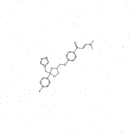 CN(C)C=CC(=O)c1ccc(OCC2COC(Cn3ccnc3)(c3ccc(F)cc3)O2)cc1